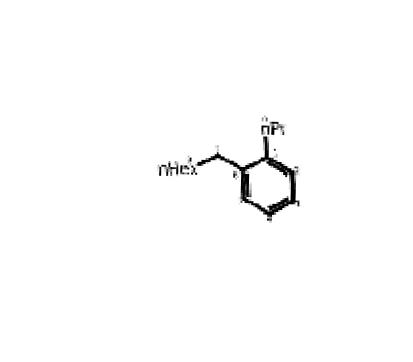 [CH2]CCc1ccccc1CCCCCCC